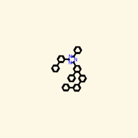 c1ccc(-c2cccc(-c3cccc(-c4ccc(-c5nc(-c6ccccc6)nc(-c6cccc(-c7ccccc7)c6)n5)cc4-c4ccccc4)c3)c2)cc1